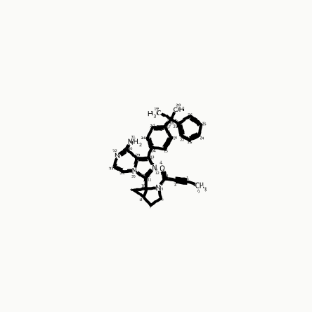 CC#CC(=O)N1CCC2CC21c1nc(-c2ccc(C(C)(O)c3ccccc3)cc2)c2c(N)nccn12